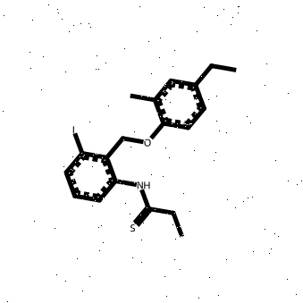 CCC(=S)Nc1cccc(I)c1COc1ccc(CC)cc1C